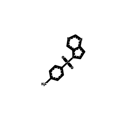 Cc1ccc(S(=O)(=O)n2ccc3ncncc32)cc1